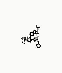 CCC(C)CN1Cc2ccc(-c3nc(C(=O)NC)ccc3-c3cnn(CC4CCCC4)c3)cc2C1=O